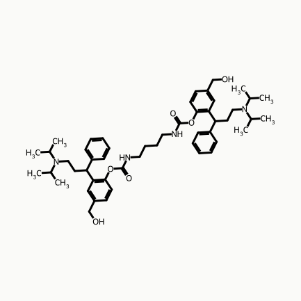 CC(C)N(CCC(c1ccccc1)c1cc(CO)ccc1OC(=O)NCCCCNC(=O)Oc1ccc(CO)cc1C(CCN(C(C)C)C(C)C)c1ccccc1)C(C)C